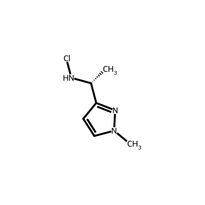 C[C@@H](NCl)c1ccn(C)n1